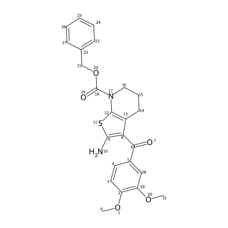 COc1ccc(C(=O)c2c(N)sc3c2CCCN3C(=O)OCc2ccccc2)cc1OC